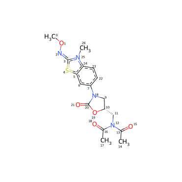 CON=c1sc2cc(N3C[C@H](CN(C(C)=O)C(C)=O)OC3=O)ccc2n1C